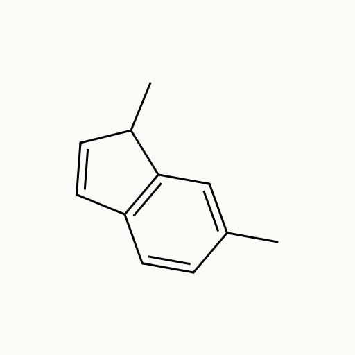 Cc1ccc2c(c1)C(C)C=C2